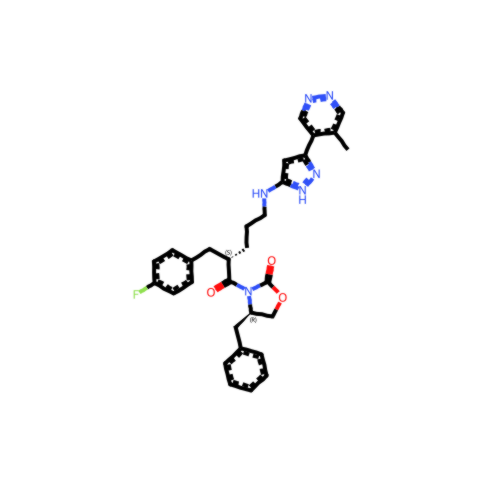 Cc1cnncc1-c1cc(NCCC[C@@H](Cc2ccc(F)cc2)C(=O)N2C(=O)OC[C@H]2Cc2ccccc2)[nH]n1